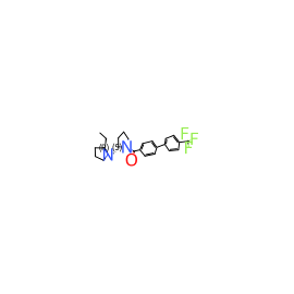 CC[C@@H]1CCCN1C[C@@H]1CCCN1C(=O)c1ccc(-c2ccc(C(F)(F)F)cc2)cc1